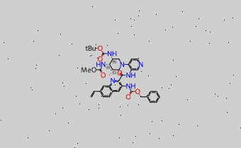 C=Cc1ccc2cc(NC(=O)OCc3ccccc3)c(C(=O)Nc3cnccc3N3C[C@H](C)[C@H](NC(=O)OC)[C@H](NC(=O)OC(C)(C)C)C3)nc2c1